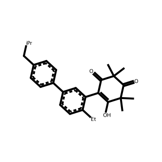 CCc1ccc(-c2ccc(CC(C)C)cc2)cc1C1=C(O)C(C)(C)C(=O)C(C)(C)C1=O